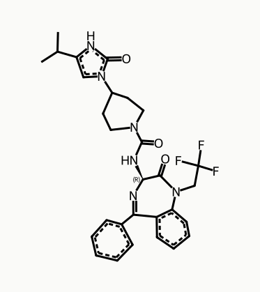 CC(C)c1cn(C2CCN(C(=O)N[C@@H]3N=C(c4ccccc4)c4ccccc4N(CC(F)(F)F)C3=O)CC2)c(=O)[nH]1